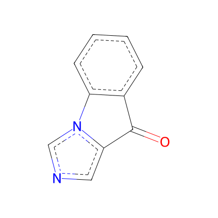 O=C1c2ccccc2-n2cncc21